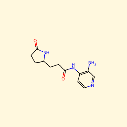 Nc1cnccc1NC(=O)CCC1CCC(=O)N1